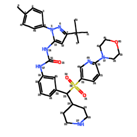 Cc1ccc(-n2nc(C(C)(C)C)cc2NC(=O)Nc2cccc(C(C3CCNCC3)S(=O)(=O)c3ccc(N4CCOCC4)nc3)c2)cc1